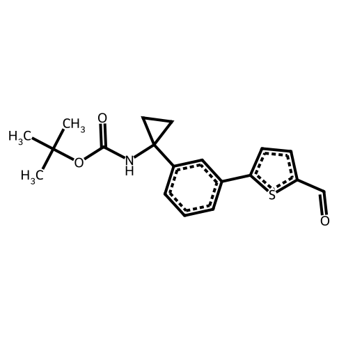 CC(C)(C)OC(=O)NC1(c2cccc(-c3ccc(C=O)s3)c2)CC1